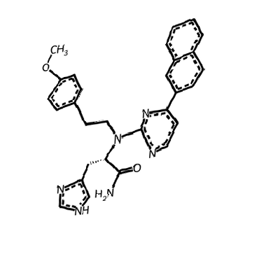 COc1ccc(CCN(c2nccc(-c3ccc4ccccc4c3)n2)[C@@H](Cc2c[nH]cn2)C(N)=O)cc1